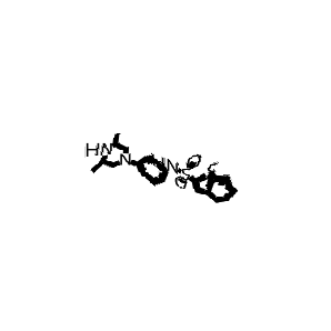 CC1CN(c2cccc(NS(=O)(=O)c3cc4ccccc4s3)c2)CC(C)N1